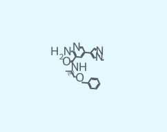 C[C@H](COCc1ccccc1)NC(=O)c1cc(-c2cnn(C)c2)cnc1N